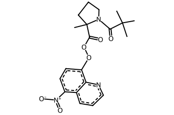 CC(C)(C)C(=O)N1CCCC1(C)C(=O)OOc1ccc([N+](=O)[O-])c2cccnc12